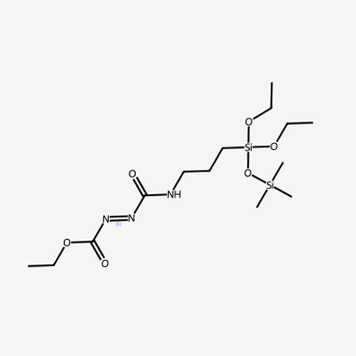 CCOC(=O)/N=N/C(=O)NCCC[Si](OCC)(OCC)O[Si](C)(C)C